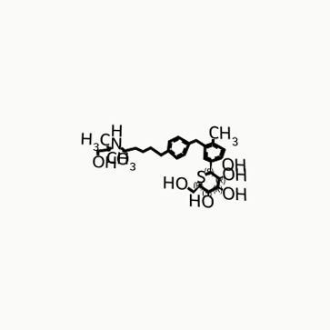 Cc1cc(O)c([C@@H]2S[C@H](CO)[C@@H](O)[C@H](O)[C@H]2O)cc1Cc1ccc(CCCCC(=O)NC(C)(C)CO)cc1